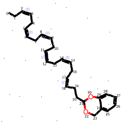 CC/C=C\C/C=C\C/C=C\C/C=C\C/C=C\C/C=C\CCC1OCc2ccccc2O1